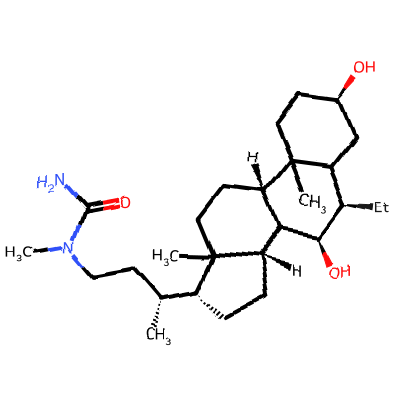 CC[C@@H]1C2C[C@H](O)CCC2(C)[C@H]2CCC3(C)[C@@H]([C@H](C)CCN(C)C(N)=O)CC[C@H]3C2[C@@H]1O